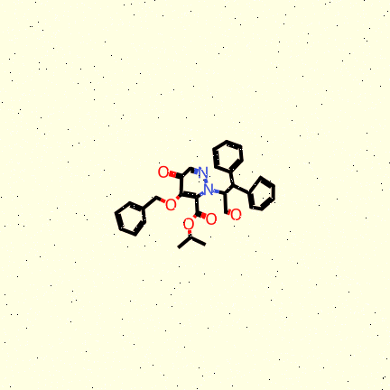 CC(C)OC(=O)c1c(OCc2ccccc2)c(=O)cnn1C(C=O)C(c1ccccc1)c1ccccc1